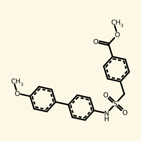 COC(=O)c1ccc(CS(=O)(=O)Nc2ccc(-c3ccc(OC)cc3)cc2)cc1